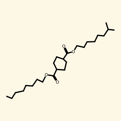 CCCCCCCCOC(=O)C1CCC(C(=O)OCCCCCCC(C)C)CC1